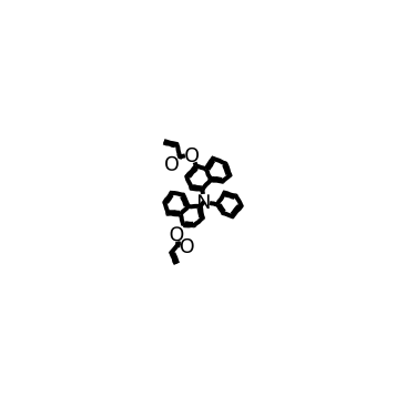 C=CC(=O)Oc1ccc(N(c2ccccc2)c2ccc(OC(=O)C=C)c3ccccc23)c2ccccc12